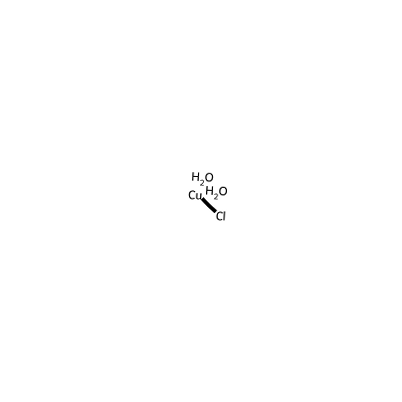 O.O.[Cl][Cu]